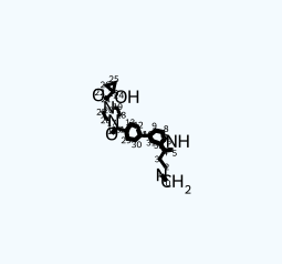 C=NCCc1c[nH]c2ccc(-c3ccc(C(=O)N4CCN(C(=O)C5(O)CC5)CC4)cc3)cc12